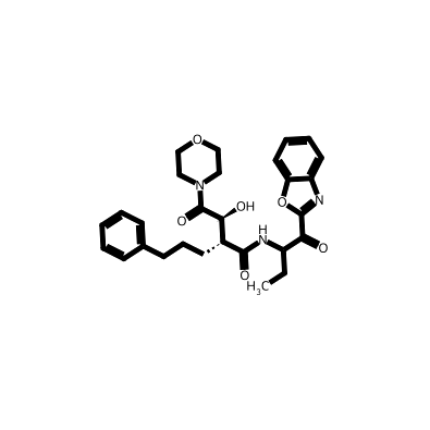 CCC(NC(=O)[C@H](CCCc1ccccc1)[C@H](O)C(=O)N1CCOCC1)C(=O)c1nc2ccccc2o1